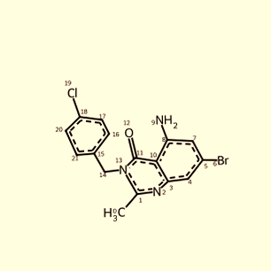 Cc1nc2cc(Br)cc(N)c2c(=O)n1Cc1ccc(Cl)cc1